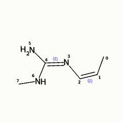 C/C=C\N=C(\N)NC